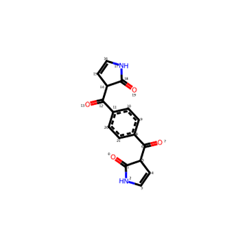 O=C1NC=CC1C(=O)c1ccc(C(=O)C2C=CNC2=O)cc1